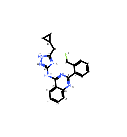 FCc1ccccc1-c1nc(Nc2n[nH]c(CC3CC3)n2)c2ccccc2n1